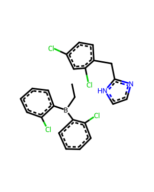 CCB(c1ccccc1Cl)c1ccccc1Cl.Clc1ccc(Cc2ncc[nH]2)c(Cl)c1